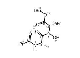 CC(C)C(=O)N[C@@H](C)C(=O)N(O)[C@H](C(=O)OC(C)(C)C)C(C)C